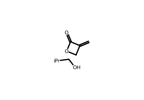 C=C1COC1=O.CC(C)CO